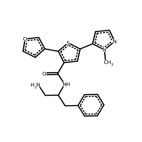 Cn1nccc1-c1cc(C(=O)NC(CN)Cc2ccccc2)c(-c2ccoc2)s1